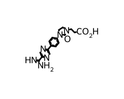 N=C(N)c1cnc(-c2ccc(N3CCN(CCC(=O)O)C3=O)cc2)cn1